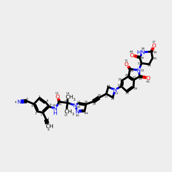 C#Cc1cc(C#N)ccc1NC(=O)C(C)(C)n1cc(C#CC2CN(c3ccc4c(c3)C(=O)N(C3CCC(=O)NC3=O)C4=O)C2)cn1